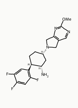 COc1ncc2c(n1)CN([C@H]1CC[C@H](c3cc(F)c(F)cc3F)[C@@H](N)C1)C2